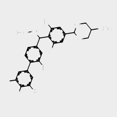 CCCCC1COC(c2cc(F)c(C(OO)c3ccc(-c4cc(F)c(F)c(F)c4)c(F)c3)c(F)c2)OC1